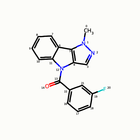 Cn1ncc2c1c1ccccc1n2C(=O)c1cccc(F)c1